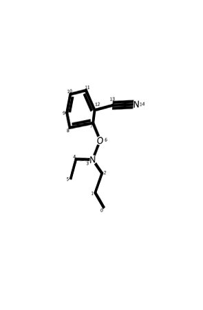 CCCN(CC)Oc1ccccc1C#N